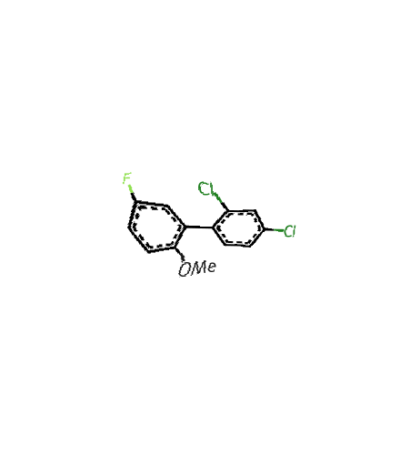 COc1ccc(F)cc1-c1ccc(Cl)cc1Cl